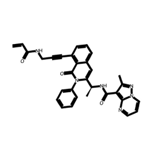 C=CC(=O)NCC#Cc1cccc2cc([C@H](C)NC(=O)c3c(C)nn4cccnc34)n(-c3ccccc3)c(=O)c12